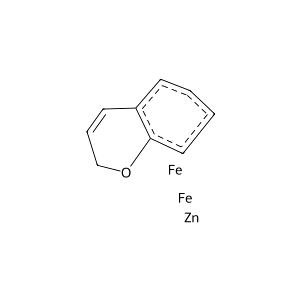 C1=Cc2ccccc2OC1.[Fe].[Fe].[Zn]